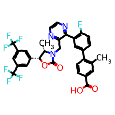 Cc1cc(C(=O)O)ccc1-c1ccc(F)c(-c2nccnc2CN2C(=O)O[C@H](c3cc(C(F)(F)F)cc(C(F)(F)F)c3)[C@@H]2C)c1